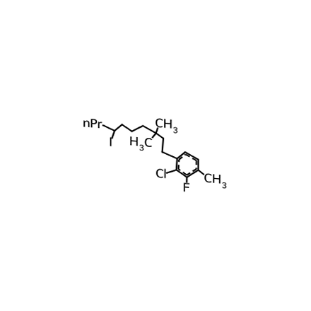 CCCC(I)CCCC(C)(C)CCc1ccc(C)c(F)c1Cl